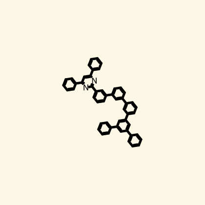 c1ccc(-c2cc(-c3ccccc3)cc(-c3cccc(-c4cccc(-c5cccc(-c6nc(-c7ccccc7)cc(-c7ccccc7)n6)c5)c4)c3)c2)cc1